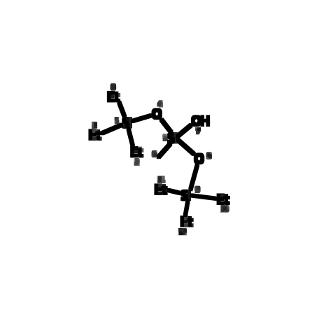 CC[Si](CC)(CC)O[Si](C)(O)O[Si](CC)(CC)CC